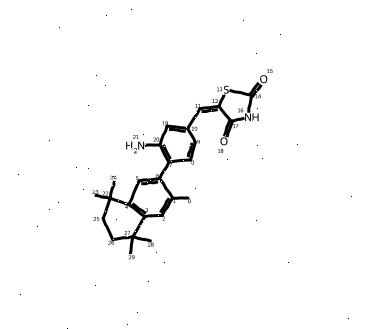 Cc1cc2c(cc1-c1ccc(C=C3SC(=O)NC3=O)cc1N)C(C)(C)CCC2(C)C